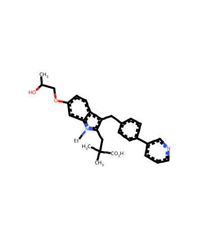 CCn1c(CC(C)(C)C(=O)O)c(Cc2ccc(-c3cccnc3)cc2)c2ccc(OCC(C)O)cc21